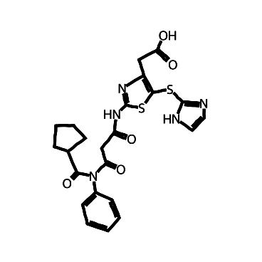 O=C(O)Cc1nc(NC(=O)CC(=O)N(C(=O)C2CCCC2)c2ccccc2)sc1Sc1ncc[nH]1